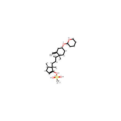 CC/C=C1/C[C@@H](OC2CCCCO2)CC[C@]1(C)[C@H](C)CC[C@]1(C)C(OS(=O)(=O)C(F)(F)F)=CC[C@H]1C